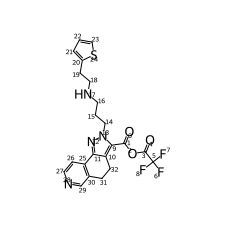 O=C(OC(=O)C(F)(F)F)c1c2c(nn1CCCNCCc1cccs1)-c1ccncc1CC2